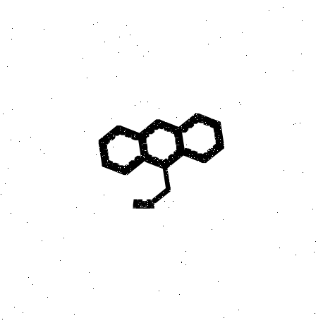 CNCc1c2ccccc2cc2ccccc12